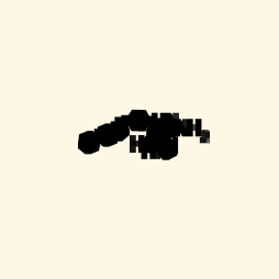 N=C(N)CC(Cc1ncc[nH]1)CN(CCO)Cc1ccc(CN2CCC3(CCN(C4CCCCC4)CC3)C2)cc1